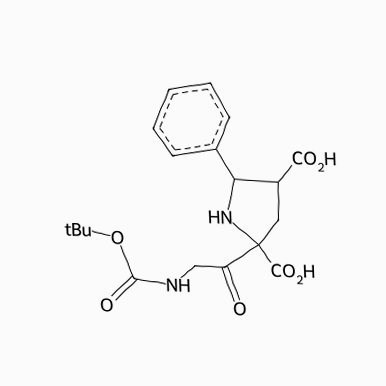 CC(C)(C)OC(=O)NCC(=O)C1(C(=O)O)CC(C(=O)O)C(c2ccccc2)N1